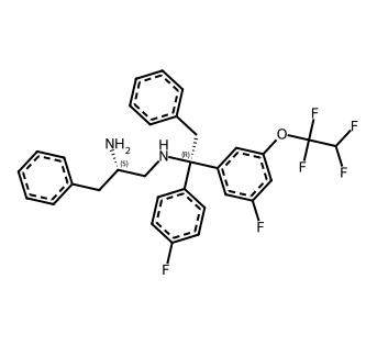 N[C@H](CN[C@](Cc1ccccc1)(c1ccc(F)cc1)c1cc(F)cc(OC(F)(F)C(F)F)c1)Cc1ccccc1